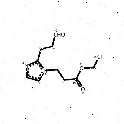 O=CCCc1nccn1CCC(=O)OCCl